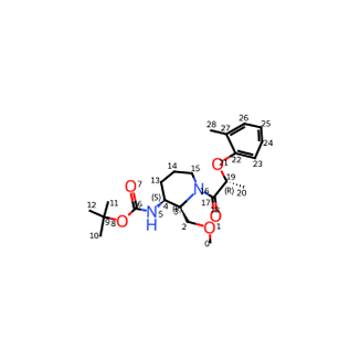 COC[C@H]1[C@@H](NC(=O)OC(C)(C)C)CCCN1C(=O)[C@@H](C)Oc1ccccc1C